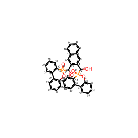 O=P1(C(O)c2cc3ccccc3cc2C(O)P2(=O)Oc3ccccc3-c3ccccc32)Oc2ccccc2-c2ccccc21